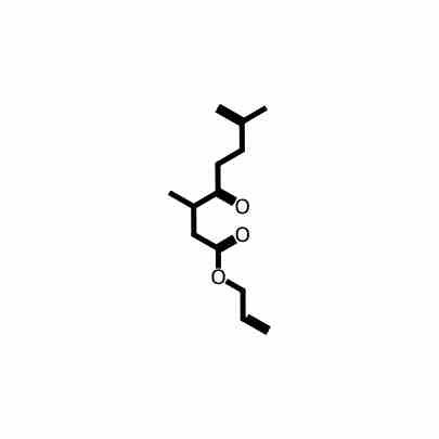 C=CCOC(=O)CC(C)C(=O)CCC(=C)C